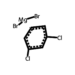 Clc1c[c]cc(Cl)c1.[Br][Mg][Br]